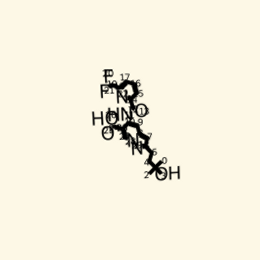 CC(C)(O)CCc1cc2cc(NC(=O)c3cccc(C(F)F)n3)c(C(=O)O)cn2n1